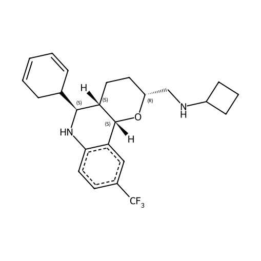 FC(F)(F)c1ccc2c(c1)[C@H]1O[C@@H](CNC3CCC3)CC[C@H]1[C@H](C1C=CC=CC1)N2